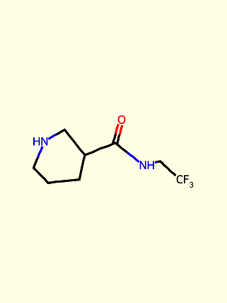 O=C(NCC(F)(F)F)C1CCCNC1